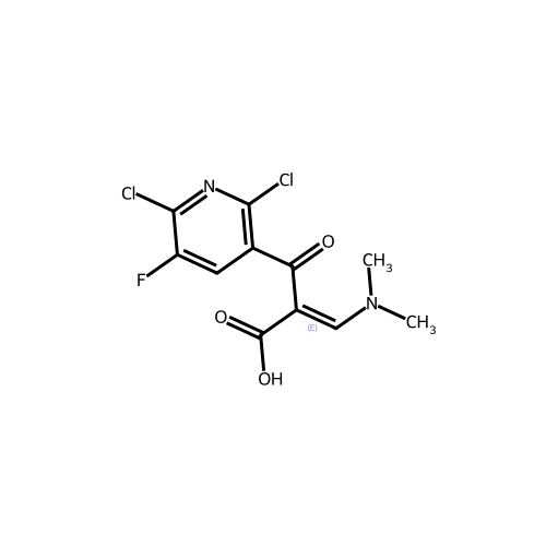 CN(C)/C=C(/C(=O)O)C(=O)c1cc(F)c(Cl)nc1Cl